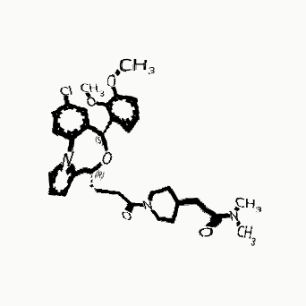 COc1cccc([C@H]2O[C@H](CCC(=O)N3CCC(CC(=O)N(C)C)CC3)c3cccn3-c3ccc(Cl)cc32)c1OC